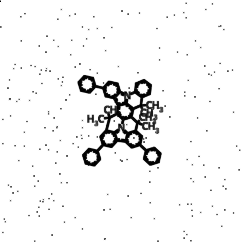 CC1(C)c2ccccc2-n2c3ccc(-c4ccccc4)cc3c3c4c5c(c1c32)C(C)(C)c1cc(-c2ccccc2)cc2c3cc(-c6ccccc6)cc(c3n-5c12)C4(C)C